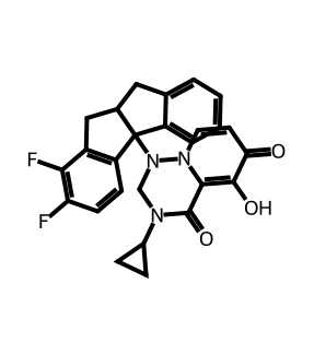 O=C1c2c(O)c(=O)ccn2N(C23c4ccccc4CC2Cc2c3ccc(F)c2F)CN1C1CC1